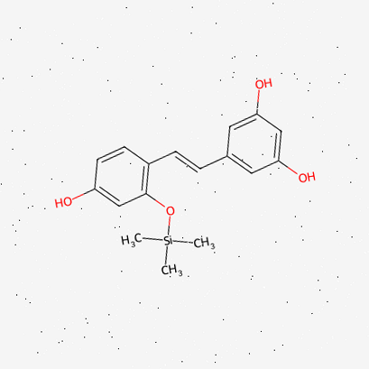 C[Si](C)(C)Oc1cc(O)ccc1/C=C/c1cc(O)cc(O)c1